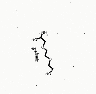 NC(O)COCCOCCO.[N-]=[N+]=N